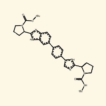 CC(C)(C)NC(=O)N1CCCC1c1ncc(-c2ccc(-c3ccc4nc(C5CCCN5C(=O)OC(C)(C)C)[nH]c4c3)cc2)[nH]1